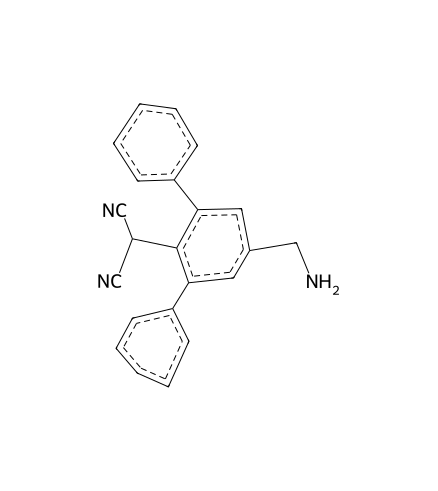 N#CC(C#N)c1c(-c2ccccc2)cc(CN)cc1-c1ccccc1